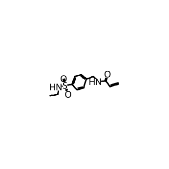 C=CC(=O)NCc1ccc(S(=O)(=O)NCC)cc1